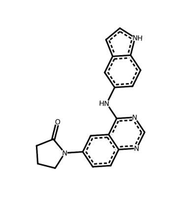 O=C1CCCN1c1ccc2ncnc(Nc3ccc4[nH]ccc4c3)c2c1